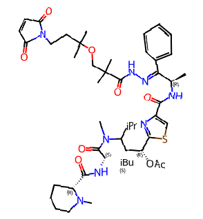 CC[C@H](C)[C@H](NC(=O)[C@H]1CCCCN1C)C(=O)N(C)C(C[C@@H](OC(C)=O)c1nc(C(=O)N[C@H](C)C(=NNC(=O)C(C)(C)COC(C)(C)CCN2C(=O)C=CC2=O)c2ccccc2)cs1)C(C)C